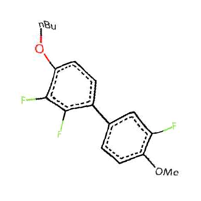 CCCCOc1ccc(-c2ccc(OC)c(F)c2)c(F)c1F